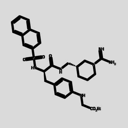 CCOC(=O)CNc1ccc(C[C@@H](NS(=O)(=O)c2ccc3ccccc3c2)C(=O)NC[C@H]2CCCN(C(=N)N)C2)cc1